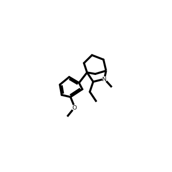 CCC1N(C)C2CCCC1(c1cccc(OC)c1)C2